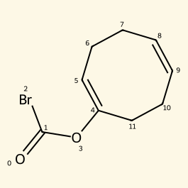 O=C(Br)OC1=CCCC=CCC1